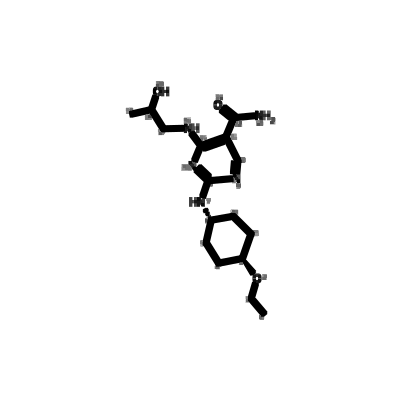 CCO[C@H]1CC[C@H](Nc2ncc(C(N)=O)c(NCC(C)O)n2)CC1